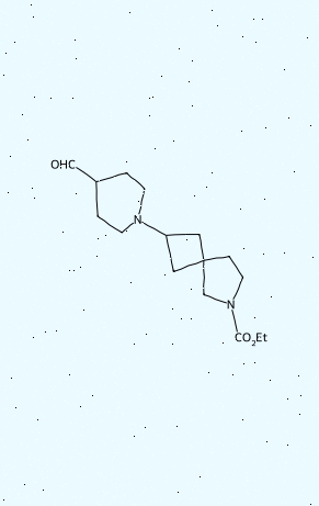 CCOC(=O)N1CCC2(CC(N3CCC(C=O)CC3)C2)C1